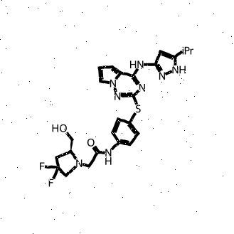 CC(C)c1cc(Nc2nc(Sc3ccc(NC(=O)CN4CC(F)(F)C[C@H]4CO)cc3)nn3cccc23)n[nH]1